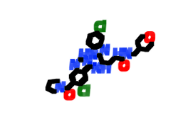 O=C(CCC(Nc1ncnc2cc(C(=O)N3CCCC3)c(Cl)cc12)c1nc2cc(Cl)ccc2[nH]1)NCC1CCOCC1